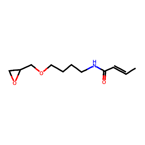 CC=CC(=O)NCCCCOCC1CO1